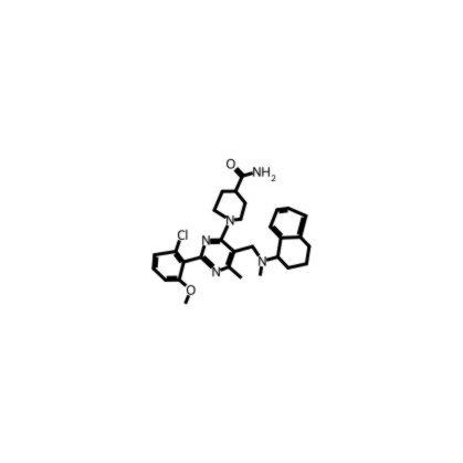 COc1cccc(Cl)c1-c1nc(C)c(CN(C)C2CCCc3ccccc32)c(N2CCC(C(N)=O)CC2)n1